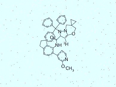 [2H]C1=C2OCC3(CC3)CN2N(C(c2ccccc2)(c2ccccc2)c2ccccc2)C1C(=O)Nc1c(-c2ccnc(OC)c2)ccc2c1CCC2